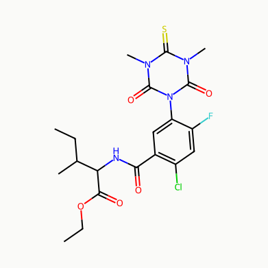 CCOC(=O)C(NC(=O)c1cc(-n2c(=O)n(C)c(=S)n(C)c2=O)c(F)cc1Cl)C(C)CC